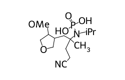 COC1COCC1CC(C)(CCC#N)N(C(C)C)P(=O)(O)O